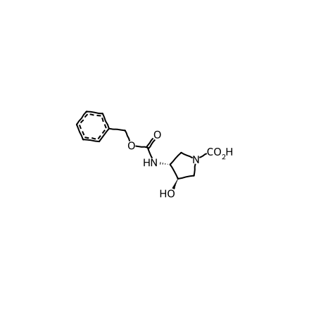 O=C(N[C@@H]1CN(C(=O)O)C[C@H]1O)OCc1ccccc1